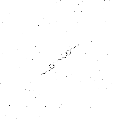 CCCCCc1ccc(CCCCCCc2ccc(CCCCC)cc2)cc1